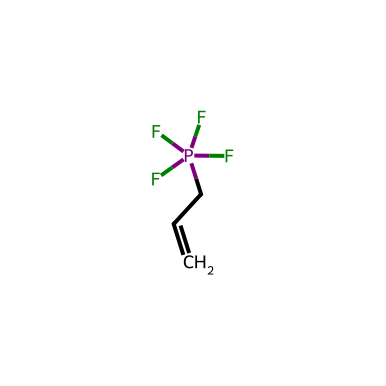 C=CCP(F)(F)(F)F